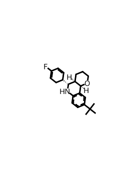 CC(C)(C)c1ccc2c(c1)[C@@H]1OCCC[C@@H]1[C@@H](C1C=CC(F)=CC1)N2